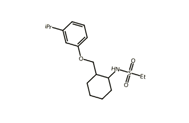 CCS(=O)(=O)NC1CCCCC1COc1cccc(C(C)C)c1